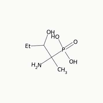 CCC(O)C(C)(N)P(=O)(O)O